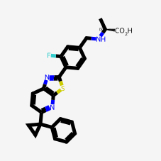 C[C@H](NCc1ccc(-c2nc3ccc(C4(c5ccccc5)CC4)nc3s2)c(F)c1)C(=O)O